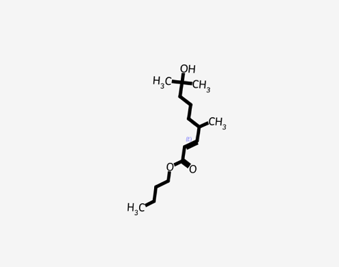 CCCCOC(=O)/C=C/C(C)CCCC(C)(C)O